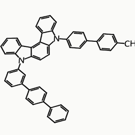 Cc1ccc(-c2ccc(-n3c4ccccc4c4c5c6ccccc6n(-c6cccc(-c7ccc(-c8ccccc8)cc7)c6)c5ccc43)cc2)cc1